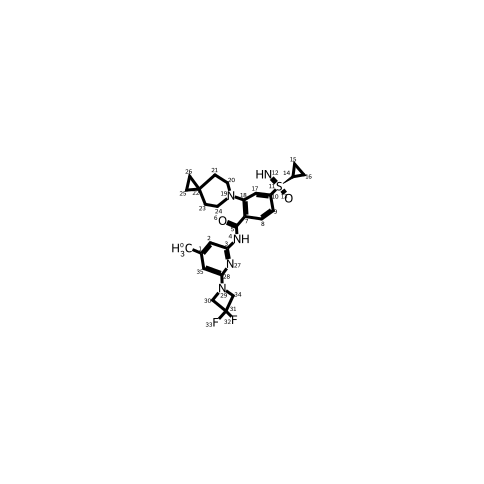 Cc1cc(NC(=O)c2ccc([S@](=N)(=O)C3CC3)cc2N2CCC3(CC2)CC3)nc(N2CC(F)(F)C2)c1